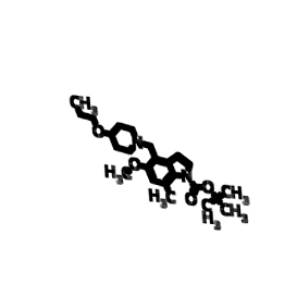 CCCOC1CCN(Cc2c(OC)cc(C)c3c2ccn3C(=O)OC(C)(C)C)CC1